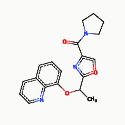 CC(Oc1cccc2cccnc12)c1nc(C(=O)N2CCCC2)co1